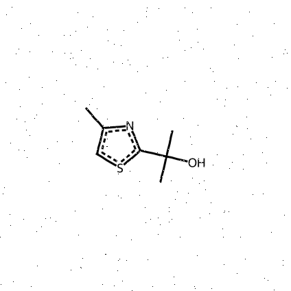 Cc1csc(C(C)(C)O)n1